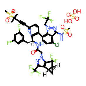 CC(C)(C#Cc1ccc(-c2ccc(Cl)c3c(NS(C)(=O)=O)nn(CC(F)(F)F)c23)c([C@H](Cc2cc(F)cc(F)c2)NC(=O)Cn2nc(C(F)(F)F)c3c2C(F)(F)[C@@H]2C[C@H]32)n1)S(C)(=O)=O.O=S(=O)(O)O